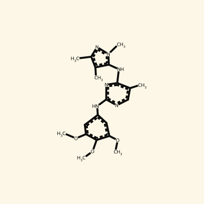 COc1cc(Nc2ncc(C)c(Nc3c(C)c(C)nn3C)n2)cc(OC)c1OC